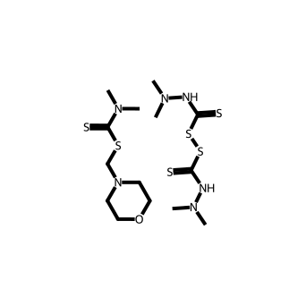 CN(C)C(=S)SCN1CCOCC1.CN(C)NC(=S)SSC(=S)NN(C)C